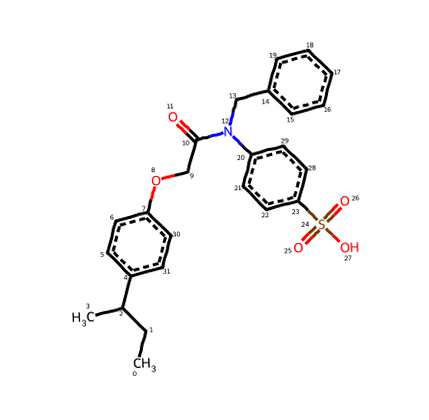 CCC(C)c1ccc(OCC(=O)N(Cc2ccccc2)c2ccc(S(=O)(=O)O)cc2)cc1